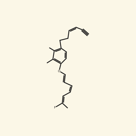 C#C/C=C\CCc1ccc(O/C=C/C=C\C=C(/C)F)c(C)c1C